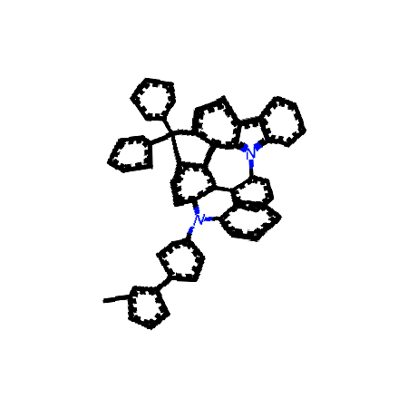 Cc1cccc(-c2ccc(N(c3ccccc3)c3ccc4c5c3-c3ccccc3-n3c6ccccc6c6ccc(c-5c63)C4(c3ccccc3)c3ccccc3)cc2)c1